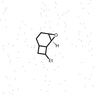 CCC1CC2CCC3O[C@H]3C12